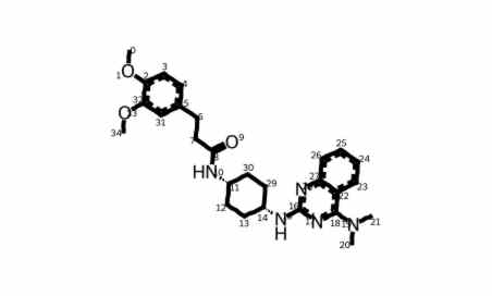 COc1ccc(CCC(=O)N[C@H]2CC[C@@H](Nc3nc(N(C)C)c4ccccc4n3)CC2)cc1OC